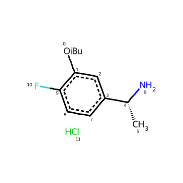 CC(C)COc1cc([C@@H](C)N)ccc1F.Cl